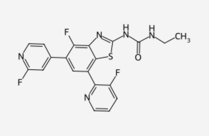 CCNC(=O)Nc1nc2c(F)c(-c3ccnc(F)c3)cc(-c3ncccc3F)c2s1